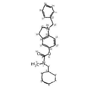 CN(CC1CCCCC1)C(=O)Oc1ccc2c(c1)CCN2Cc1ccccc1